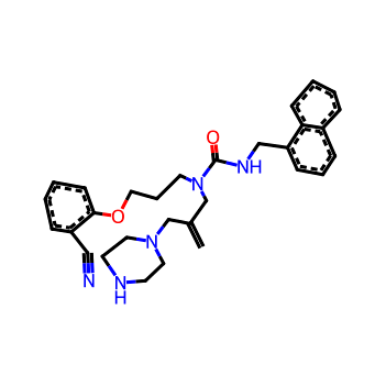 C=C(CN1CCNCC1)CN(CCCOc1ccccc1C#N)C(=O)NCc1cccc2ccccc12